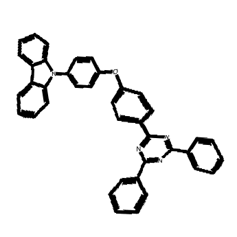 c1ccc(-c2nc(-c3ccccc3)nc(-c3ccc(Oc4ccc(-n5c6ccccc6c6ccccc65)cc4)cc3)n2)cc1